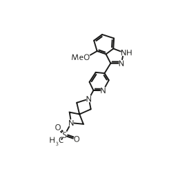 COc1cccc2[nH]nc(-c3ccc(N4CC5(C4)CN(S(C)(=O)=O)C5)nc3)c12